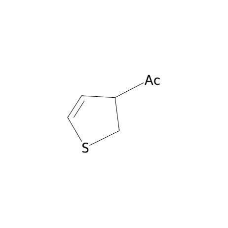 CC(=O)C1C=CSC1